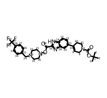 CC(C)(C)OC(=O)N1CC=C(c2ccc3[nH]c(C(=O)ON4CCN(Cc5ccc(C(F)(F)F)cc5)CC4)nc3c2)CC1